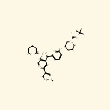 Cn1cc(-c2cc3c(-c4cccc(O[C@H]5CCCN(C(=O)OC(C)(C)C)C5)n4)nn(C4CCCCO4)c3cn2)cn1